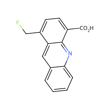 O=C(O)c1ccc(CF)c2cc3ccccc3nc12